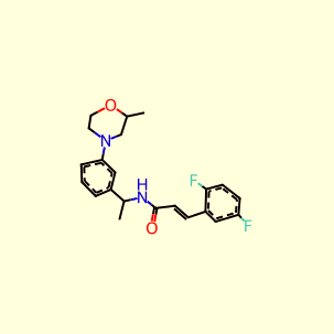 CC1CN(c2cccc(C(C)NC(=O)C=Cc3cc(F)ccc3F)c2)CCO1